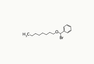 CCCCCCCCOC(Br)c1ccccc1